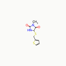 CN1C(=O)NC(SCc2cccs2)C1=O